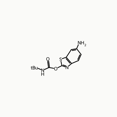 CC(C)(C)NC(=O)Oc1nc2ccc(N)cc2s1